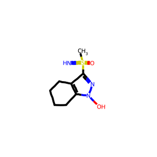 CS(=N)(=O)c1nn(O)c2c1CCCC2